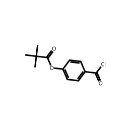 CC(C)(C)C(=O)Oc1ccc(C(=O)Cl)cc1